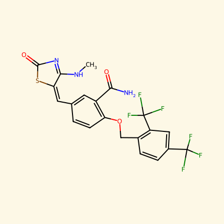 CNC1=NC(=O)SC1=Cc1ccc(OCc2ccc(C(F)(F)F)cc2C(F)(F)F)c(C(N)=O)c1